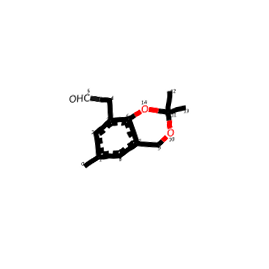 Cc1cc(CC=O)c2c(c1)COC(C)(C)O2